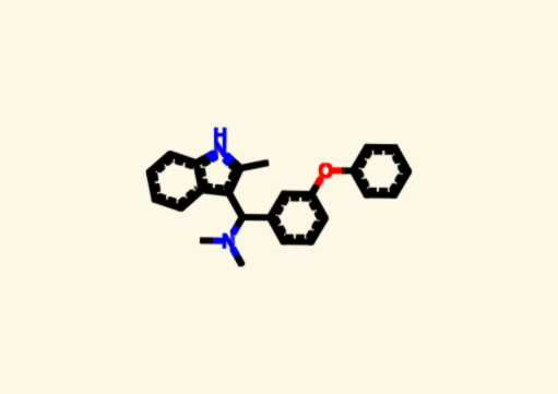 Cc1[nH]c2ccccc2c1C(c1cccc(Oc2ccccc2)c1)N(C)C